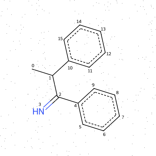 CC(C(=N)c1ccccc1)c1ccccc1